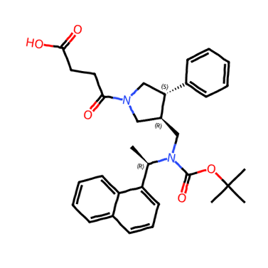 C[C@H](c1cccc2ccccc12)N(C[C@H]1CN(C(=O)CCC(=O)O)C[C@@H]1c1ccccc1)C(=O)OC(C)(C)C